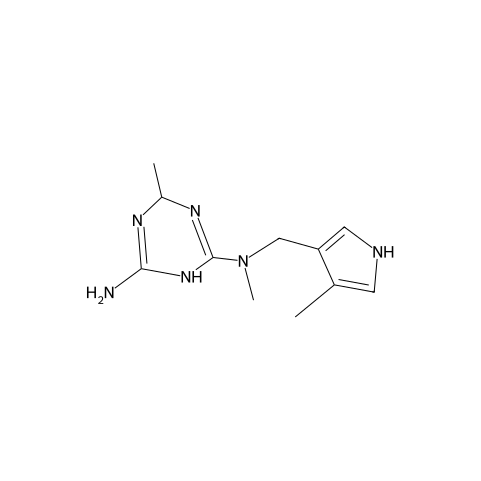 Cc1c[nH]cc1CN(C)C1=NC(C)N=C(N)N1